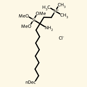 CCCCCCCCCCCCCCCCCCC(N)(CC[N+](C)(C)C)[Si](OC)(OC)OC.[Cl-]